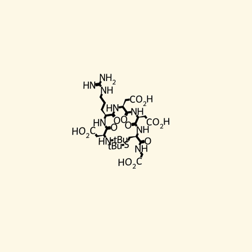 CC(C)(C)N[C@@H](CC(=O)O)C(=O)N[C@@H](CCCNC(=N)N)C(=O)N[C@@H](CC(=O)O)C(=O)N[C@@H](CC(=O)O)C(=O)N[C@H](CSC(C)(C)C)C(=O)NCC(=O)O